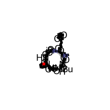 C/C=C(\C)[C@H]1OC(=O)[C@@H](C)NC(=O)[C@H](C(C)CC)NC(=O)CN(C)C(=O)[C@@H](Cc2ccccc2)N(C)C(=O)[C@H](C)NC(=O)[C@@H](CC(C)C)OC(=O)/C(C)=C/C[C@H](OC(=O)CCCCCN2C(=O)C=CC2=O)[C@@H]1C